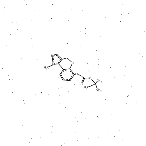 Cn1ncc2c1-c1cccc(NC(=O)OC(C)(C)C)c1OC2